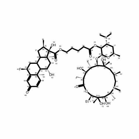 CC[C@H]1OC(=O)[C@H](C)[C@@H](O)[C@H](C)[C@@H](O[C@@H]2O[C@H](C)C[C@@H](N(C)C)C2OC(=O)CCCCOC(=O)[C@@]2(O)[C@H](C)CC3C4C[C@H](F)C5=CC(=O)C=C[C@]5(C)C4[C@@H](O)C[C@@]32C)[C@](C)(O)C[C@@H](C)CN(C)[C@H](C)[C@@H](O)[C@]1(C)O